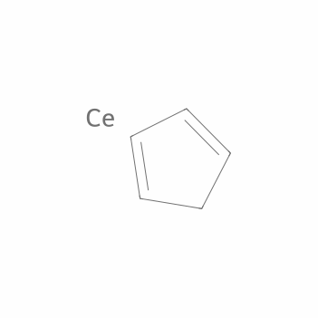 C1=CCC=C1.[Ce]